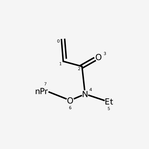 C=CC(=O)N(CC)OCCC